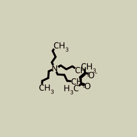 CC(=O)/C=C(/C)[O-].CCCC[N+](CCCC)(CCCC)CCCC